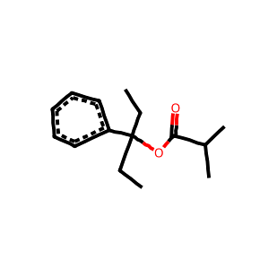 CCC(CC)(OC(=O)C(C)C)c1ccccc1